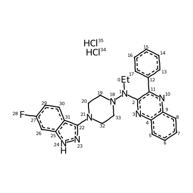 CCN(c1nc2ccccc2nc1-c1ccccc1)N1CCN(c2n[nH]c3cc(F)ccc23)CC1.Cl.Cl